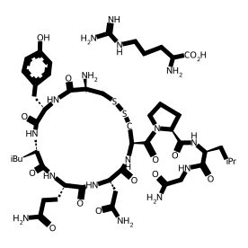 CC[C@H](C)[C@@H]1NC(=O)[C@H](Cc2ccc(O)cc2)NC(=O)[C@@H](N)CSSC[C@@H](C(=O)N2CCC[C@H]2C(=O)N[C@@H](CC(C)C)C(=O)NCC(N)=O)NC(=O)[C@H](CC(N)=O)NC(=O)[C@H](CCC(N)=O)NC1=O.N=C(N)NCCCC(N)C(=O)O